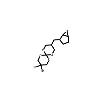 CCC1(CC)COC2(OCC(CC3CCC4OC34)CO2)OC1